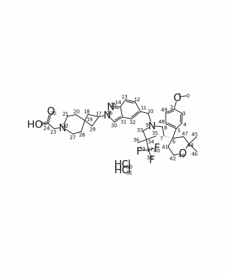 COc1ccc([C@]2(CCN(Cc3ccc4nn(C5CC6(CCN(CC(=O)O)CC6)C5)cc4c3)CC(C)(C)C(F)(F)F)CCOC(C)(C)C2)cc1.Cl.Cl